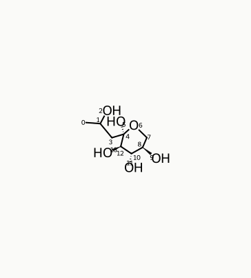 CC(O)C[C@@]1(O)OC[C@@H](O)[C@H](O)[C@H]1O